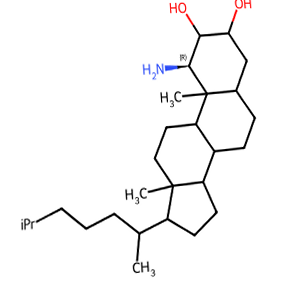 CC(C)CCCC(C)C1CCC2C3CCC4CC(O)C(O)[C@H](N)C4(C)C3CCC12C